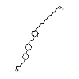 CCCCCCCCCCCCc1cnc(CC[C@H]2CC[C@H]([C@H]3CC[C@H](CCCCC)CC3)CC2)nc1